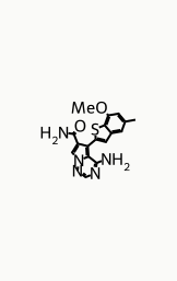 COc1cc(C)cc2cc(-c3c(C(N)=O)cn4ncnc(N)c34)sc12